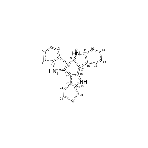 c1ccc2c(c1)[nH]c1c2c2[nH]c3ccccc3c2c2[nH]c3ccccc3c12